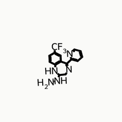 NNC1CN=C(c2ccccn2)c2cc(C(F)(F)F)ccc2N1